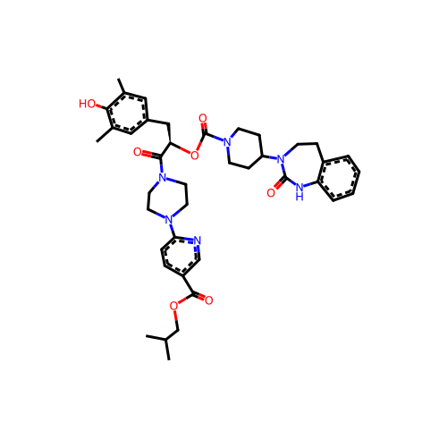 Cc1cc(C[C@@H](OC(=O)N2CCC(N3CCc4ccccc4NC3=O)CC2)C(=O)N2CCN(c3ccc(C(=O)OCC(C)C)cn3)CC2)cc(C)c1O